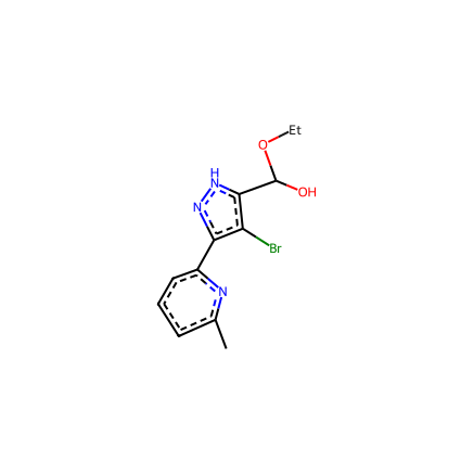 CCOC(O)c1[nH]nc(-c2cccc(C)n2)c1Br